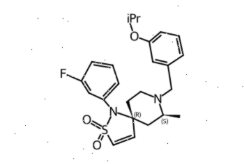 CC(C)Oc1cccc(CN2CC[C@]3(C=CS(=O)(=O)N3c3cccc(F)c3)C[C@@H]2C)c1